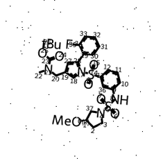 CO[C@@H]1CCN(S(=O)(=O)Nc2cccc(S(=O)(=O)n3cc(CN(C)C(=O)OC(C)(C)C)cc3-c3ccccc3F)c2)C1